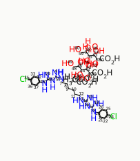 CC(=O)O.CC(=O)O.N=C(NCCCCCCNC(=N)NC(=N)Nc1ccc(Cl)cc1)NC(=N)Nc1ccc(Cl)cc1.O.O=C(O)[C@H](O)[C@@H](O)[C@H](O)[C@H](O)CO.O=C(O)[C@H](O)[C@@H](O)[C@H](O)[C@H](O)CO